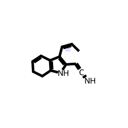 C/C=C\c1c(C=C=N)[nH]c2c1C=CCC2